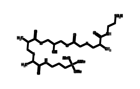 CO[Si](CCCNC(=O)C(C)SCC(C)C(=O)OCC(O)COC(=O)CSCC(C)C(=O)NCCS(=O)(=O)O)(OC)OC